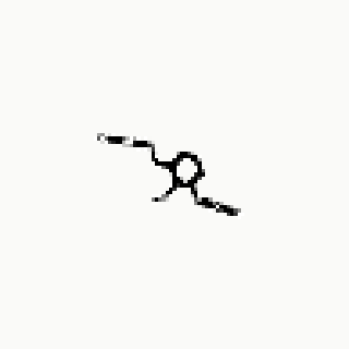 CCCCc1c(CN=C=O)cccc1N=C=O